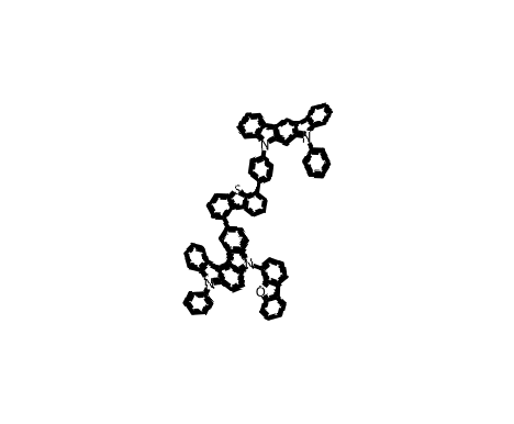 c1ccc(-n2c3ccccc3c3cc4c5ccccc5n(-c5ccc(-c6cccc7c6sc6cccc(-c8ccc9c(c8)c8c%10c%11ccccc%11n(-c%11ccccc%11)c%10ccc8n9-c8cccc9c8oc8ccccc89)c67)cc5)c4cc32)cc1